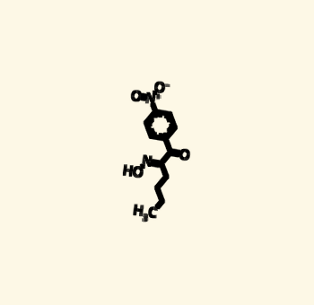 CCCCC(=NO)C(=O)c1ccc([N+](=O)[O-])cc1